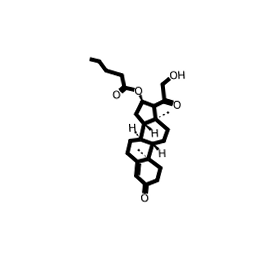 CCCCC(=O)O[C@@H]1C[C@H]2[C@@H]3CCC4=CC(=O)CC[C@]4(C)[C@H]3CC[C@]2(C)C1C(=O)CO